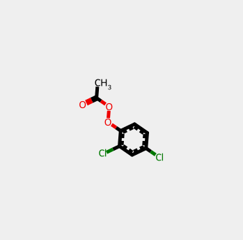 CC(=O)OOc1ccc(Cl)cc1Cl